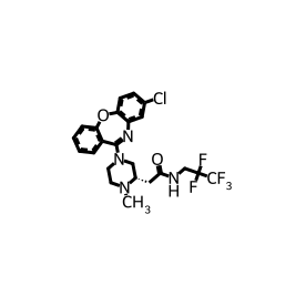 CN1CCN(C2=Nc3cc(Cl)ccc3Oc3ccccc32)C[C@@H]1CC(=O)NCC(F)(F)C(F)(F)F